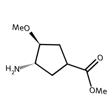 COC(=O)C1C[C@H](OC)[C@@H](N)C1